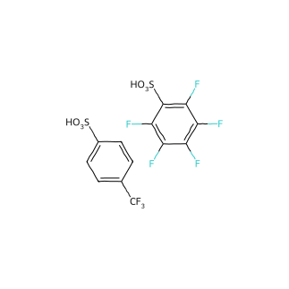 O=S(=O)(O)c1c(F)c(F)c(F)c(F)c1F.O=S(=O)(O)c1ccc(C(F)(F)F)cc1